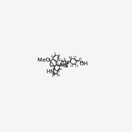 COC(=O)c1cccc(-c2cn(-c3ccc(CO)cc3)nn2)c1-c1ccc2cc[nH]c2c1